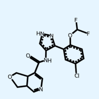 O=C(Nc1c[nH]nc1-c1cc(Cl)ccc1OC(F)F)C1=CN=CC2COCC12